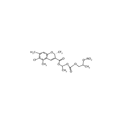 Cc1cc2c(c(C)c1Cl)C=C(C(=O)OC(C)OC(=O)OCC(C)O[N+](=O)[O-])[C@@H](C(F)(F)F)O2